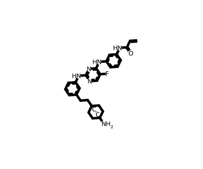 C=CC(=O)Nc1cccc(Nc2nc(Nc3cccc(CCC45CCC(N)(CC4)CC5)c3)ncc2F)c1